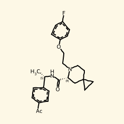 CC(=O)c1ccc([C@H](C)NC(=O)[C@H]2CC3(CCN2CCOc2ccc(F)cc2)CC3)cc1